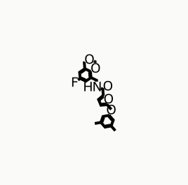 Cc1cc(C)cc(Oc2ccc(C(=O)NCc3cc(F)cc4c3OCOC4)o2)c1